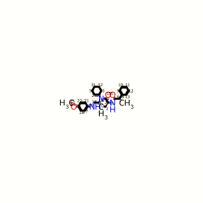 CC[C@H](NC(=O)[C@@H](C)c1ccccc1)C(=O)N(CCNc1ccc(OC)cc1)C1CCCCC1